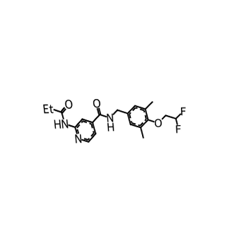 CCC(=O)Nc1cc(C(=O)NCc2cc(C)c(OCC(F)F)c(C)c2)ccn1